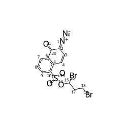 [N-]=[N+]=C1C=Cc2c(cccc2S(=O)(=O)OC(Br)CCBr)C1=O